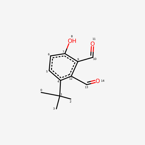 CC(C)(C)c1ccc(O)c(C=O)c1C=O